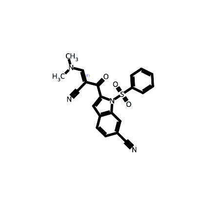 CN(C)/C=C(\C#N)C(=O)c1cc2ccc(C#N)cc2n1S(=O)(=O)c1ccccc1